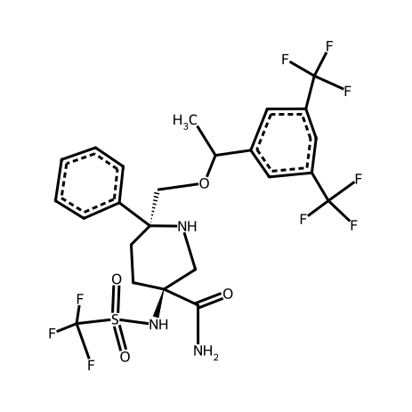 CC(OC[C@@]1(c2ccccc2)CC[C@@](NS(=O)(=O)C(F)(F)F)(C(N)=O)CN1)c1cc(C(F)(F)F)cc(C(F)(F)F)c1